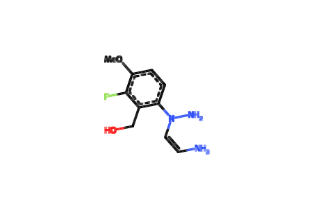 COc1ccc(N(N)/C=C\N)c(CO)c1F